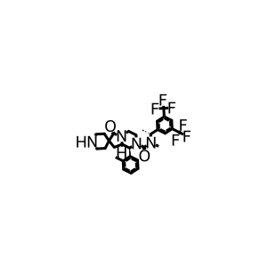 Cc1ccccc1[C@H]1[C@@H]2CC3(CCNCC3)C(=O)N2CCN1C(=O)N(C)[C@H](C)c1cc(C(F)(F)F)cc(C(F)(F)F)c1